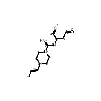 C/C=C/N1CCN(C(=N)NC(C=O)CC=O)CC1